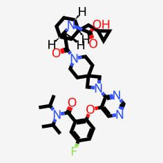 CC(C)N(C(=O)c1cc(F)ccc1Oc1cncnc1N1CC2(CCN(C(=O)[C@@H]3[C@@H]4CC[C@@H]([C@@H](CC5CC5)C4)N3C(=O)O)CC2)C1)C(C)C